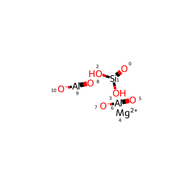 O=[Si](O)O.[Mg+2].[O]=[Al][O-].[O]=[Al][O-]